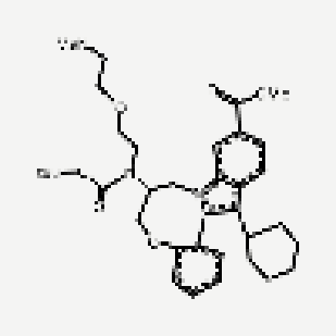 CNCCOCCN(C(=O)OC(C)(C)C)[C@H]1COc2ccccc2-c2c(C3CCCCC3)c3ccc(C(=O)OC)cc3n2C1